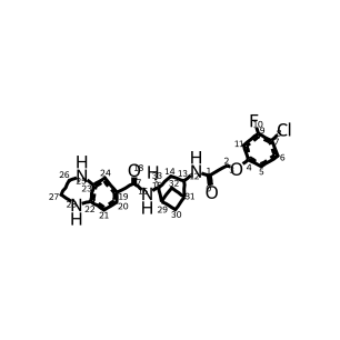 O=C(COc1ccc(Cl)c(F)c1)NC1C[C@H](NC(=O)c2ccc3c(c2)NCCN3)C2CC1C2